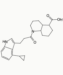 O=C(O)C1CCCC2C1CCCN2C(=O)CCc1c[nH]c2cccc(C3CC3)c12